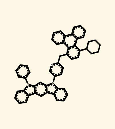 c1ccc(-n2c3ccccc3c3cc4c5ccccc5n(-c5ccc(Cc6ccc(C7CCCCC7)c7c8ccccc8c8ccccc8c67)nc5)c4cc32)cc1